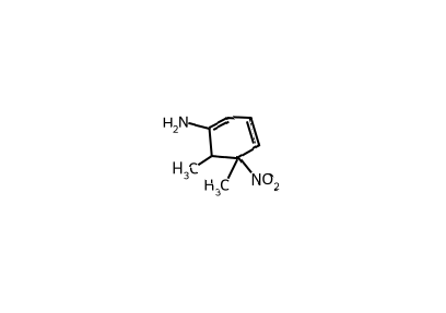 CC1C(N)=CC=CC1(C)[N+](=O)[O-]